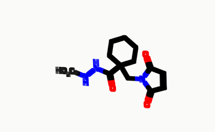 O=C(O)NNC(=O)C1(CN2C(=O)C=CC2=O)CCCCC1